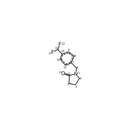 O=C1[CH]CCN1Cc1ccc(C(F)F)cc1